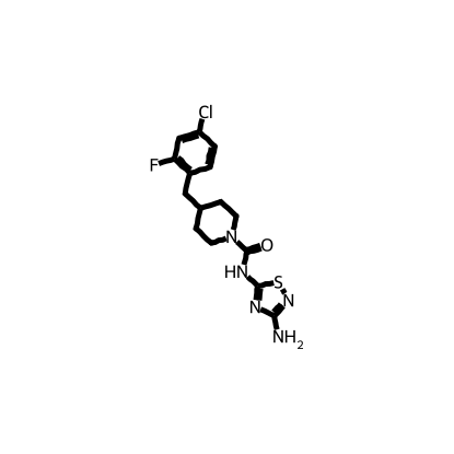 Nc1nsc(NC(=O)N2CCC(Cc3ccc(Cl)cc3F)CC2)n1